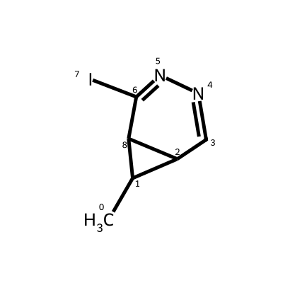 CC1C2C=NN=C(I)C12